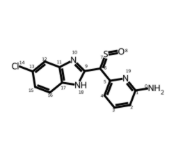 Nc1cccc(C(=S=O)c2nc3cc(Cl)ccc3[nH]2)n1